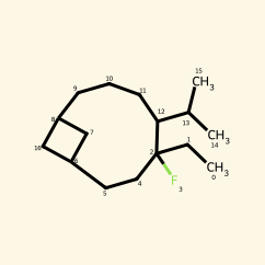 CCC1(F)CCC2CC(CCCC1C(C)C)C2